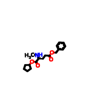 CN[C@@H](CCC(=O)OCc1ccccc1)C(=O)OC1CCCC1